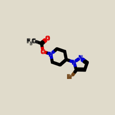 O=C(ON1CCC(n2nccc2Br)CC1)C(F)(F)F